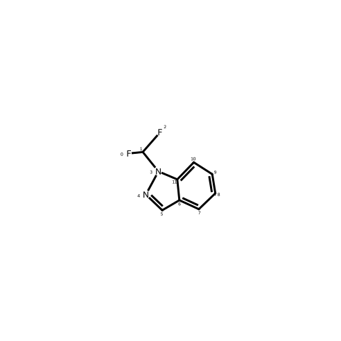 FC(F)n1ncc2c[c]ccc21